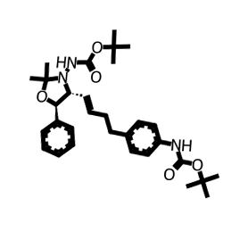 CC(C)(C)OC(=O)Nc1ccc(CC/C=C/[C@@H]2[C@@H](c3ccccc3)OC(C)(C)N2NC(=O)OC(C)(C)C)cc1